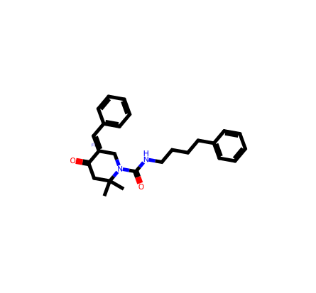 CC1(C)CC(=O)/C(=C/c2ccccc2)CN1C(=O)NCCCCc1ccccc1